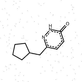 O=c1ccc(CC2CCCC2)n[nH]1